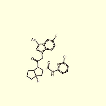 CC(=O)c1nn(CC(=O)N2C3CCC[C@H]3C[C@H]2C(=O)Nc2cccc(Cl)n2)c2ccc(F)cc12